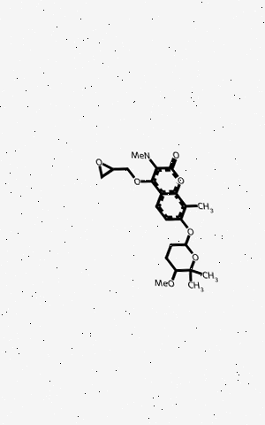 CNc1c(OCC2CO2)c2ccc(OC3CCC(OC)C(C)(C)O3)c(C)c2oc1=O